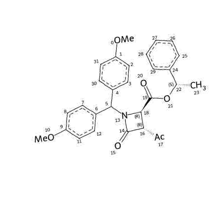 COc1ccc(C(c2ccc(OC)cc2)N2C(=O)[C@@H](C(C)=O)[C@@H]2C(=O)O[C@@H](C)c2ccccc2)cc1